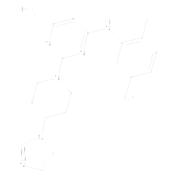 Cc1ccc(C(C)(C)C)cc1Nc1cc(C(=O)O)nc(N2CCC(n3ccnc3)CC2)n1